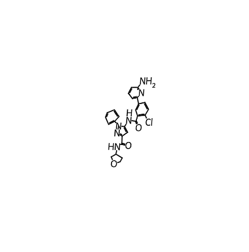 Nc1cccc(-c2ccc(Cl)c(C(=O)Nc3cc(C(=O)NC4CCOC4)nn3-c3ccccc3)c2)n1